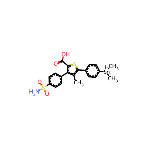 Cc1c(-c2cc[c]([SnH]([CH3])[CH3])cc2)sc(C(=O)O)c1-c1ccc(S(N)(=O)=O)cc1